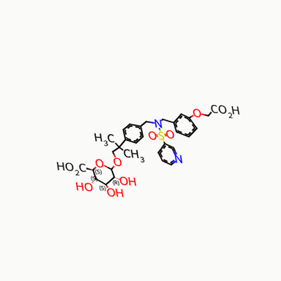 CC(C)(COC1O[C@H](C(=O)O)[C@@H](O)[C@H](O)[C@H]1O)c1ccc(CN(Cc2cccc(OCC(=O)O)c2)S(=O)(=O)c2cccnc2)cc1